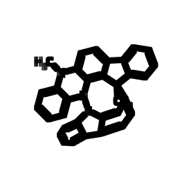 CN1c2ccccc2N2B3c4ccccc4-c4ccc(cc43)C3(C)c4ccccc4-c4ccc1c2c43